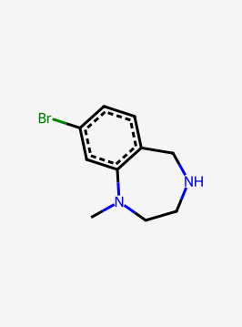 CN1CCNCc2ccc(Br)cc21